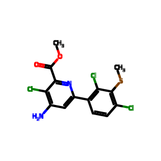 COC(=O)c1nc(-c2ccc(Cl)c(SC)c2Cl)cc(N)c1Cl